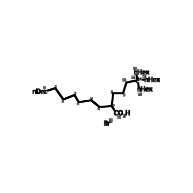 CCCCCCCCCCCCCCCCC(CCC[P+](CCCCCC)(CCCCCC)CCCCCC)C(=O)O.[Br-]